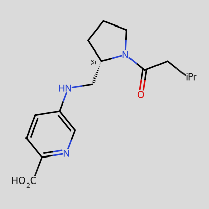 CC(C)CC(=O)N1CCC[C@H]1CNc1ccc(C(=O)O)nc1